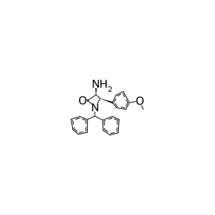 COc1ccc([C@@H]2[C@H](N)C(=O)N2C(c2ccccc2)c2ccccc2)cc1